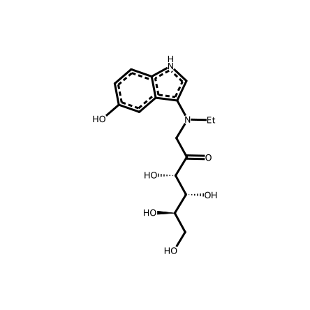 CCN(CC(=O)[C@@H](O)[C@H](O)[C@H](O)CO)c1c[nH]c2ccc(O)cc12